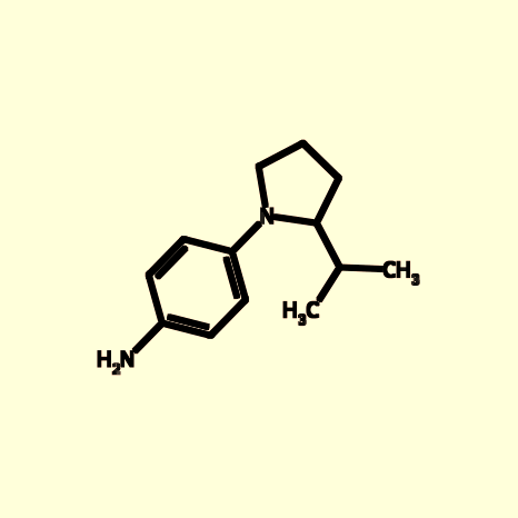 CC(C)C1CCCN1c1ccc(N)cc1